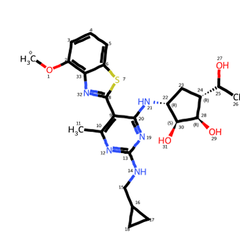 COc1cccc2sc(-c3c(C)nc(NCC4CC4)nc3N[C@@H]3C[C@H](C(C)O)[C@@H](O)[C@H]3O)nc12